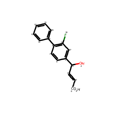 O=C(O)C=CC(O)c1ccc(-c2ccccc2)c(F)c1